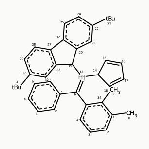 Cc1cccc([C](c2ccccc2)=[Hf]([CH]2C=CC=C2)[CH]2c3cc(C(C)(C)C)ccc3-c3ccc(C(C)(C)C)cc32)c1C